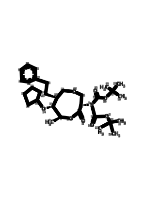 C[C@@H]1OC(=O)[C@@H](N(C(=O)OC(C)(C)C)C(=O)OC(C)(C)C)COC[C@H](CCc2ccccc2)[C@H]1OC1CCCC1